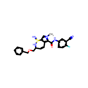 Cn1cc2c(c1C(=O)Nc1ccc(F)c(C#N)c1)C=CC(COCc1ccccc1)NS2=N